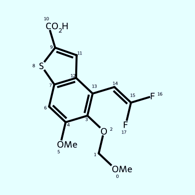 COCOc1c(OC)cc2sc(C(=O)O)cc2c1C=C(F)F